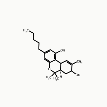 CCCCCc1cc(O)c2c(c1)OC(C)(C)[C@@H]1CC(O)C(C)=CC21